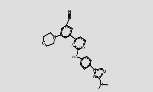 CN(C)c1ncn(-c2ccc(Nc3nccc(-c4cc(C#N)cc(N5CCOCC5)c4)n3)cc2)n1